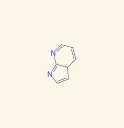 C1=CC2C=CN=C2N=C1